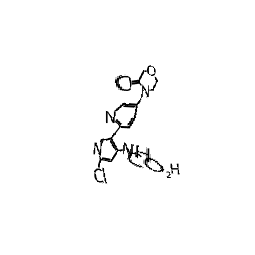 O=C(O)Nc1cc(Cl)ncc1-c1ccc(N2CCOCC2=O)cn1